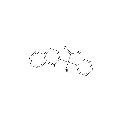 NC(C(=O)O)(c1ccccc1)c1ccc2ccccc2n1